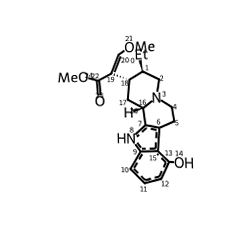 CC[C@H]1CN2CCc3c([nH]c4cccc(O)c34)[C@@H]2C[C@@H]1/C(=C\OC)C(=O)OC